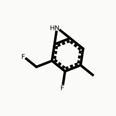 Cc1cc2c(c(CF)c1F)N2